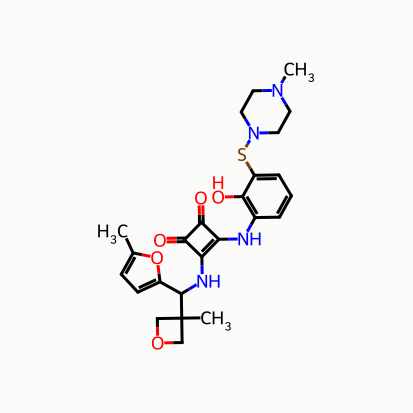 Cc1ccc(C(Nc2c(Nc3cccc(SN4CCN(C)CC4)c3O)c(=O)c2=O)C2(C)COC2)o1